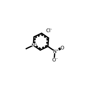 C[n+]1cccc([N+](=O)[O-])c1.[Cl-]